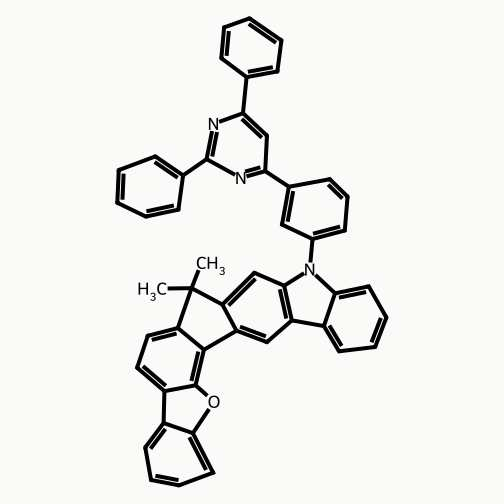 CC1(C)c2cc3c(cc2-c2c1ccc1c2oc2ccccc21)c1ccccc1n3-c1cccc(-c2cc(-c3ccccc3)nc(-c3ccccc3)n2)c1